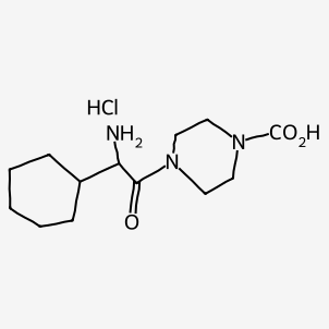 Cl.NC(C(=O)N1CCN(C(=O)O)CC1)C1CCCCC1